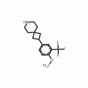 COc1ccc(C2CC3(CCNCC3)C2)cc1C(F)(F)F